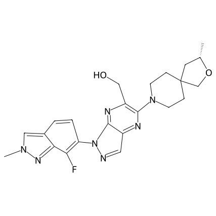 C[C@H]1CC2(CCN(c3nc4cnn(-c5ccc6cn(C)nc6c5F)c4nc3CO)CC2)CO1